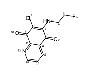 O=C1C(NCCF)=C(Cl)C(=O)c2ncccc21